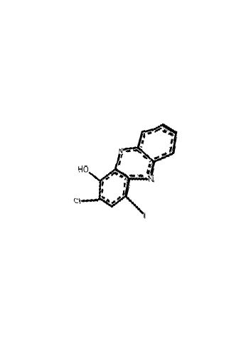 Oc1c(Cl)cc(I)c2nc3ccccc3nc12